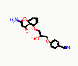 N#Cc1ccc(OCC(O)COc2cccc3oc(N)cc(=O)c23)cc1